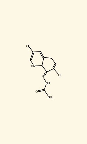 NC(=O)NN=C1C(Cl)=CCC2=CC(Cl)=CNC21